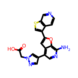 Nc1ncc(-c2cnn(CC(=O)O)c2)c2cc(-c3csc4cnccc34)oc12